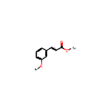 CCC(C)Oc1cccc(/C=C/C(=O)OC(C)(C)C)c1